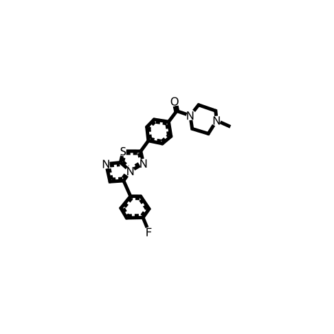 CN1CCN(C(=O)c2ccc(-c3nn4c(-c5ccc(F)cc5)cnc4s3)cc2)CC1